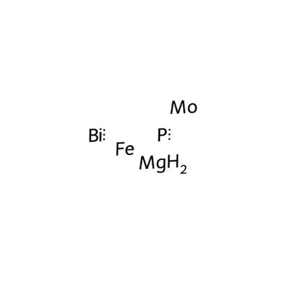 [Bi].[Fe].[MgH2].[Mo].[P]